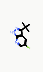 CC(C)(C)c1n[nH]c2ncc(F)cc12